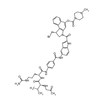 CC(=O)CN[C@H](C(=O)N[C@@H](CCCNC(N)=O)C(=O)Nc1ccc(C(=O)Nc2ccc3[nH]c(C(=O)N4C[C@@H](CBr)c5c4cc(OC(=O)N4CCN(C)CC4)c4ccccc54)cc3c2)cc1)C(C)C